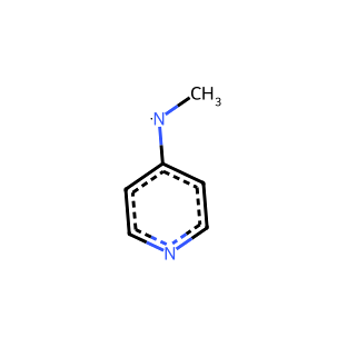 C[N]c1ccncc1